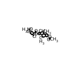 C=C[C@]12CC[C@]3(C)C[C@H](OC(=O)c4cc(S(N)(=O)=O)ccc4Cl)CC3C1[C@H](C)Cc1cc(OC(C)=O)ccc12